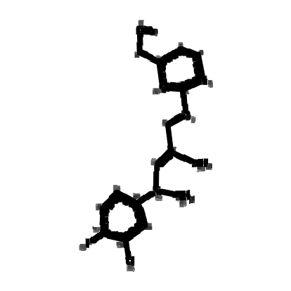 COCc1ccnc(OC/C(N)=C/N(N)c2ccc(F)c(Cl)c2)n1